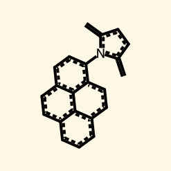 C=c1ccc(=C)n1-c1ccc2ccc3cccc4ccc1c2c34